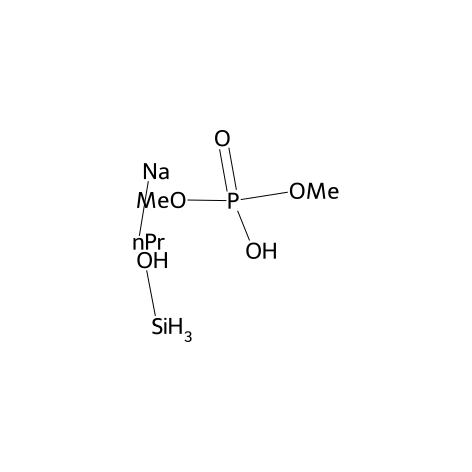 CC[CH2][Na].COP(=O)(O)OC.O[SiH3]